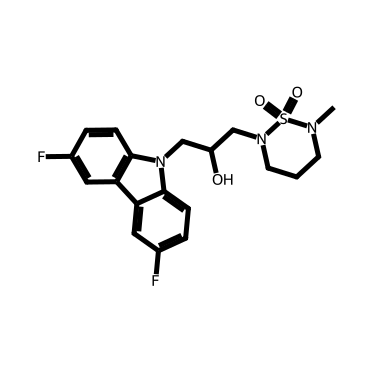 CN1CCCN(CC(O)Cn2c3ccc(F)cc3c3cc(F)ccc32)S1(=O)=O